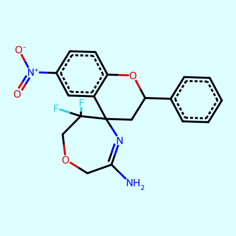 NC1=NC2(CC(c3ccccc3)Oc3ccc([N+](=O)[O-])cc32)C(F)(F)COC1